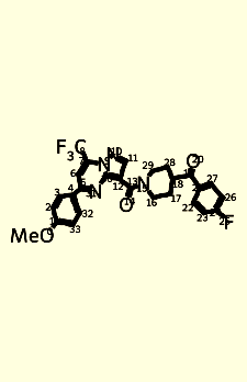 COc1ccc(-c2cc(C(F)(F)F)n3ncc(C(=O)N4CCC(C(=O)c5ccc(F)cc5)CC4)c3n2)cc1